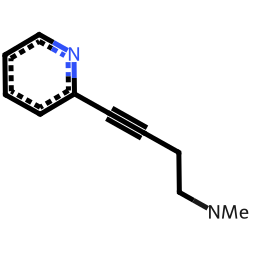 CNCCC#Cc1ccccn1